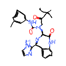 Cc1cccc(NC(=O)N(CC(=O)C(C)(C)C)C2N=C(c3ncc[nH]3)c3ccccc3NC2=O)c1